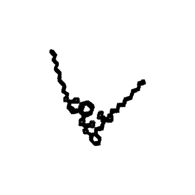 C=CCCCCCCCCOC(=O)/C=C\c1ccccc1OC(=O)Oc1ccccc1/C=C/C(=O)OCCCCCCCCC=C